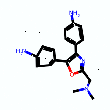 CN(C)Cc1nc(-c2ccc(N)cc2)c(-c2ccc(N)cc2)o1